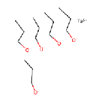 CCC[O-].CCC[O-].CCC[O-].CCC[O-].CCC[O-].[Ta+5]